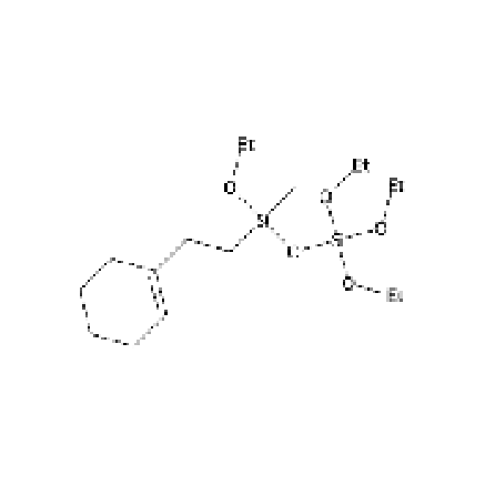 CCO[Si](C)(CCC1=CCCCC1)O[Si](OCC)(OCC)OCC